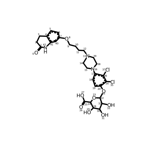 O=C1CCc2ccc(OCCCCN3CCN(c4ccc(OC5OC(C(=O)O)C(O)C(O)C5O)c(Cl)c4Cl)CC3)cc2N1